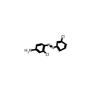 Nc1ccc(N=Nc2cccc(Cl)c2)c(Cl)c1